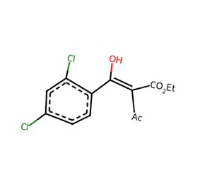 CCOC(=O)C(C(C)=O)=C(O)c1ccc(Cl)cc1Cl